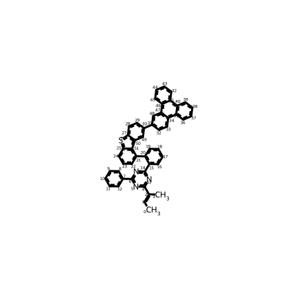 C/C=C(\C)c1nc(-c2ccccc2)nc(-c2ccccc2-c2cccc3sc4ccc(-c5ccc6c7ccccc7c7ccccc7c6c5)cc4c23)n1